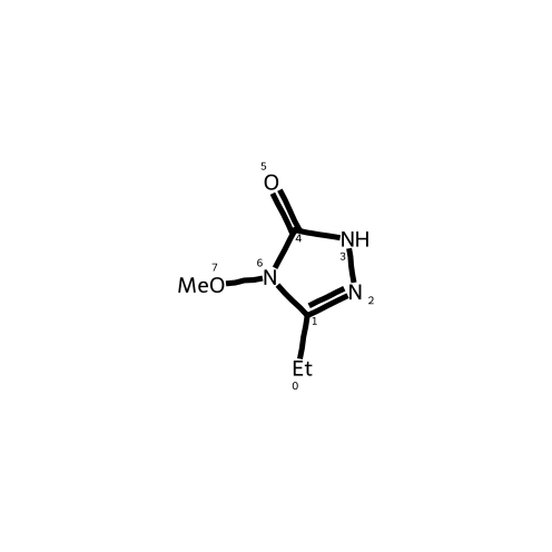 CCc1n[nH]c(=O)n1OC